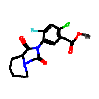 CC(C)OC(=O)c1cc(N2C(=O)C3CCCCN3C2=O)c(F)cc1Cl